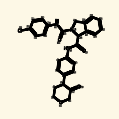 O=C(Nc1ccc(N2CCOCC2=O)cc1)C1c2ccccc2CN1C(=O)Nc1ccc(Cl)cc1